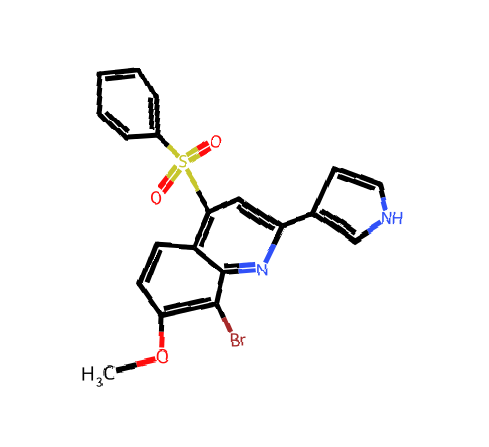 COc1ccc2c(S(=O)(=O)c3ccccc3)cc(-c3cc[nH]c3)nc2c1Br